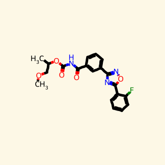 COCC(C)OC(=O)NC(=O)c1cccc(-c2noc(-c3ccccc3F)n2)c1